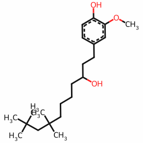 COc1cc(CCC(O)CCCCC(C)(C)CC(C)(C)C)ccc1O